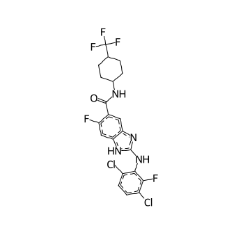 O=C(NC1CCC(C(F)(F)F)CC1)c1cc2nc(Nc3c(Cl)ccc(Cl)c3F)[nH]c2cc1F